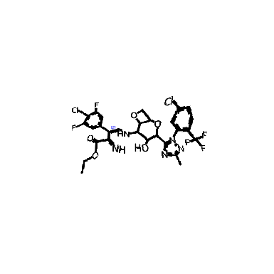 CCOC(=O)C(=N)/C(=C\NC1C(O)C(c2nc(C)nn2-c2cc(Cl)ccc2C(F)(F)F)OC2COC21)c1cc(F)c(Cl)c(F)c1